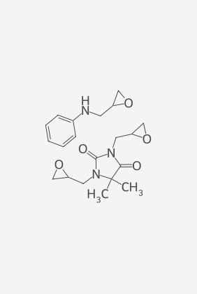 CC1(C)C(=O)N(CC2CO2)C(=O)N1CC1CO1.c1ccc(NCC2CO2)cc1